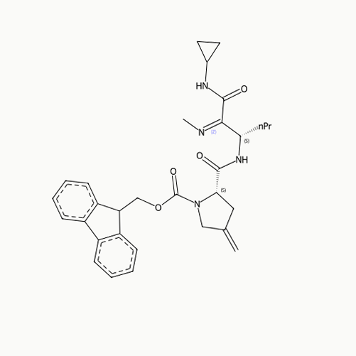 C=C1C[C@@H](C(=O)N[C@@H](CCC)/C(=N/C)C(=O)NC2CC2)N(C(=O)OCC2c3ccccc3-c3ccccc32)C1